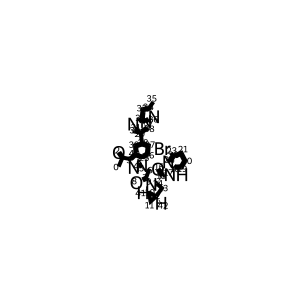 CC(=O)c1nn(CC(=O)N2[C@@H]3C[C@@H]3C[C@H]2C(=O)Nc2cccc(Br)n2)c2ccc(-c3cnc4cc(C)nn4c3)cc12